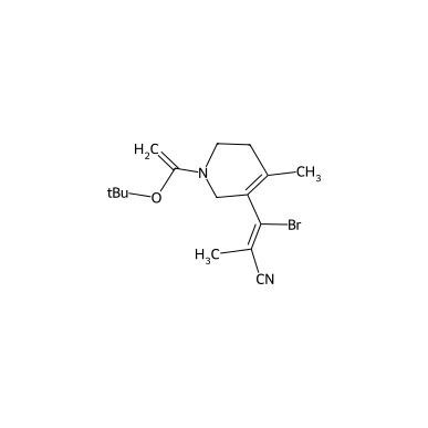 C=C(OC(C)(C)C)N1CCC(C)=C(/C(Br)=C(\C)C#N)C1